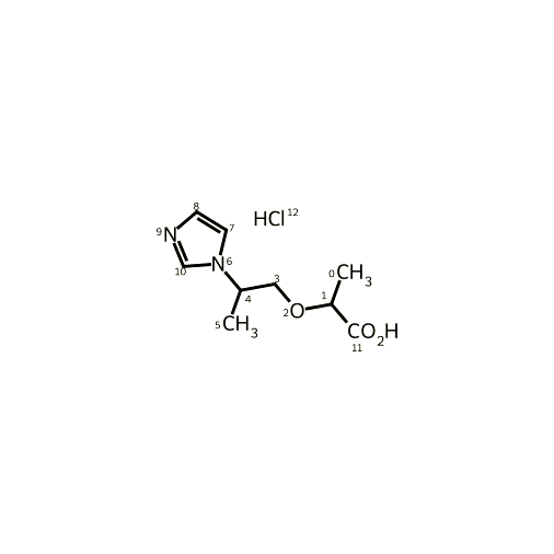 CC(OCC(C)n1ccnc1)C(=O)O.Cl